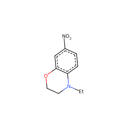 CCN1CCOc2cc([N+](=O)[O-])ccc21